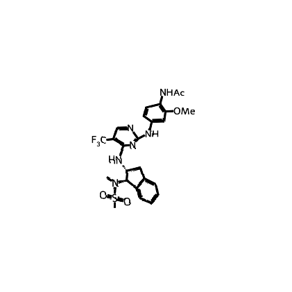 COc1cc(Nc2ncc(C(F)(F)F)c(N[C@@H]3Cc4ccccc4[C@H]3N(C)S(C)(=O)=O)n2)ccc1NC(C)=O